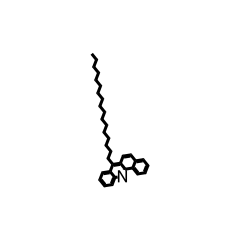 CCCCCCCCCCCCCCCCCc1c2ccccc2nc2c1ccc1ccccc12